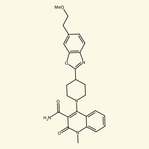 COCCc1ccc2nc(C3CCN(c4c(C(N)=O)c(=O)n(C)c5ccccc45)CC3)oc2c1